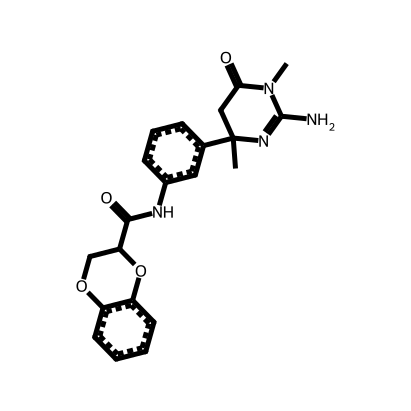 CN1C(=O)CC(C)(c2cccc(NC(=O)C3COc4ccccc4O3)c2)N=C1N